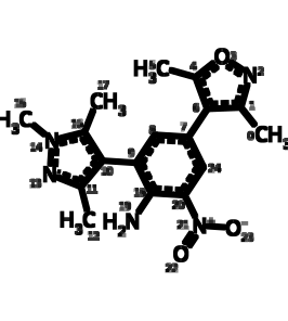 Cc1noc(C)c1-c1cc(-c2c(C)nn(C)c2C)c(N)c([N+](=O)[O-])c1